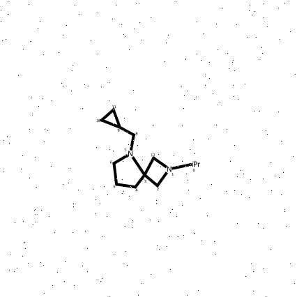 CC(C)N1CC2(CCCN2CC2CC2)C1